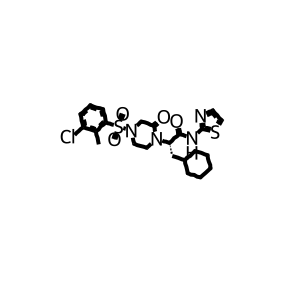 Cc1c(Cl)cccc1S(=O)(=O)N1CCN([C@@H](CC2CCCCC2)C(=O)Nc2nccs2)C(=O)C1